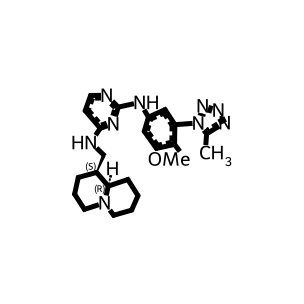 COc1ccc(Nc2nccc(NC[C@@H]3CCCN4CCCC[C@H]34)n2)cc1-n1nnnc1C